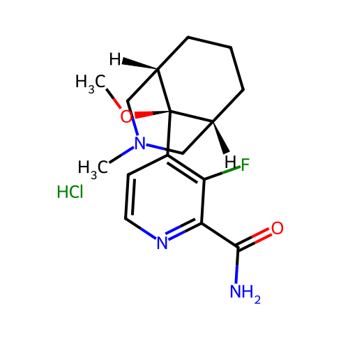 CO[C@]1(c2ccnc(C(N)=O)c2F)[C@@H]2CCC[C@H]1CN(C)C2.Cl